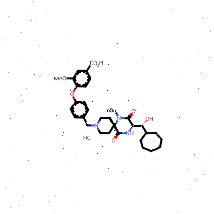 CCCCN1C(=O)[C@@H]([C@H](O)C2CCCCCC2)NC(=O)C12CCN(Cc1ccc(Oc3ccc(C(=O)O)cc3OC)cc1)CC2.Cl